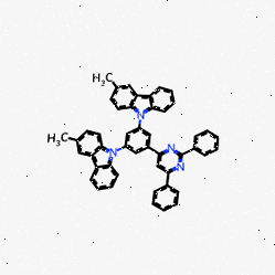 Cc1ccc2c(c1)c1ccccc1n2-c1cc(-c2cc(-c3ccccc3)nc(-c3ccccc3)n2)cc(-n2c3ccccc3c3cc(C)ccc32)c1